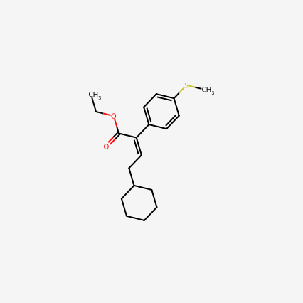 CCOC(=O)C(=CCC1CCCCC1)c1ccc(SC)cc1